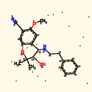 COc1cc2c(cc1C#N)OC(C)(C)C(O)C2NCCc1ccccc1